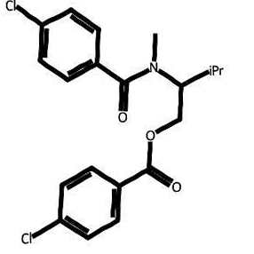 CC(C)C(COC(=O)c1ccc(Cl)cc1)N(C)C(=O)c1ccc(Cl)cc1